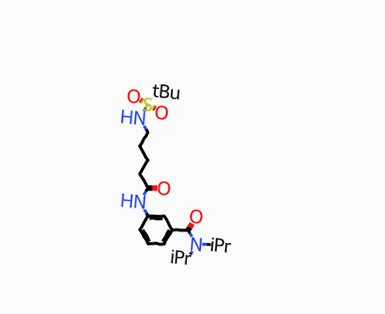 CC(C)N(C(=O)c1cccc(NC(=O)CCCCNS(=O)(=O)C(C)(C)C)c1)C(C)C